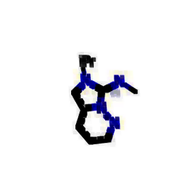 C/N=c1/n(C(C)C)cc2cccnn12